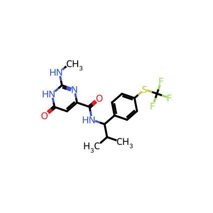 CNc1nc(C(=O)NC(c2ccc(SC(F)(F)F)cc2)C(C)C)cc(=O)[nH]1